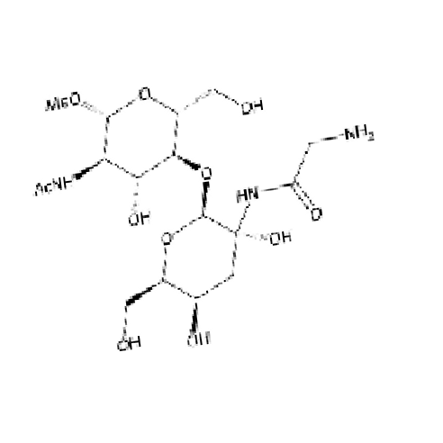 CO[C@@H]1O[C@H](CO)[C@@H](O[C@@H]2O[C@H](CO)[C@H](O)C[C@]2(O)NC(=O)CN)[C@H](O)[C@H]1NC(C)=O